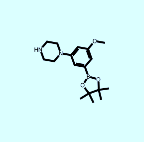 COc1cc(B2OC(C)(C)C(C)(C)O2)cc(N2CCNCC2)c1